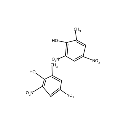 Cc1cc([N+](=O)[O-])cc([N+](=O)[O-])c1O.Cc1cc([N+](=O)[O-])cc([N+](=O)[O-])c1O